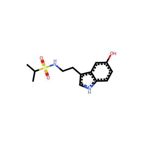 CC(C)S(=O)(=O)NCCc1c[nH]c2ccc(O)cc12